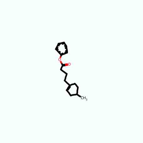 CC1CC=C(CCCC(=O)Oc2ccccc2)CC1